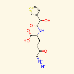 [N-]=[N+]=CC(=O)CC[C@H](NC(=O)[C@H](O)c1ccsc1)C(=O)O